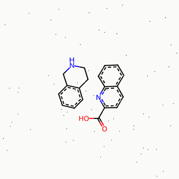 O=C(O)c1ccc2ccccc2n1.c1ccc2c(c1)CCNC2